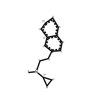 CN(CCc1ccc2ccccc2c1)C1CC1